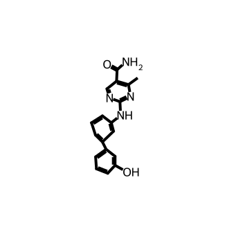 Cc1nc(Nc2cccc(-c3cccc(O)c3)c2)ncc1C(N)=O